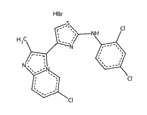 Br.Cc1nc2ccc(Cl)cn2c1-c1csc(Nc2ccc(Cl)cc2Cl)n1